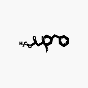 COC(=O)Cc1ncc(Cc2ccccc2)cc1F